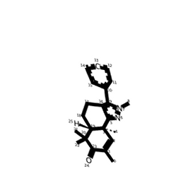 CC1=C[C@]2(C)c3nn(C)c(-c4ccccc4)c3CC[C@H]2C(C)(C)C1=O